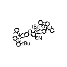 Cc1ccccc1N(c1ccc2cc3c(cc2c1)oc1c3cc(C#N)c2c3cc4ccc(N(c5ccccc5C)c5cccc6c5oc5c(C(C)(C)C)cccc56)cc4cc3oc12)c1cccc2c1oc1c(C(C)(C)C)cccc12